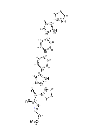 COO/C=N/[C@H](C(=O)N1CCC[C@H]1c1ncc(-c2ccc(-c3ccc(-c4cnc([C@@H]5CCCN5)[nH]4)cc3)cc2)[nH]1)C(C)C